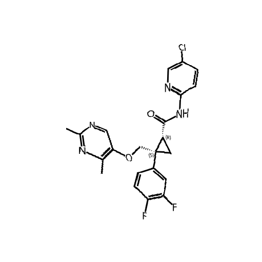 Cc1ncc(OC[C@@]2(c3ccc(F)c(F)c3)C[C@H]2C(=O)Nc2ccc(Cl)cn2)c(C)n1